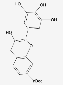 CCCCCCCCCCc1ccc2c(c1)OC(c1cc(O)c(O)c(O)c1)=C(O)C2